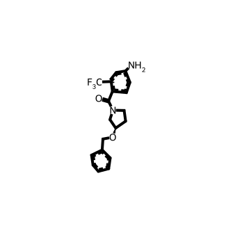 Nc1ccc(C(=O)N2CC[C@@H](OCc3ccccc3)C2)c(C(F)(F)F)c1